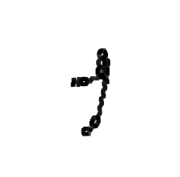 O=c1nc(SCCCCCCCCc2ccc(Cl)cc2)n(CCCO)cc1Cc1ccccc1